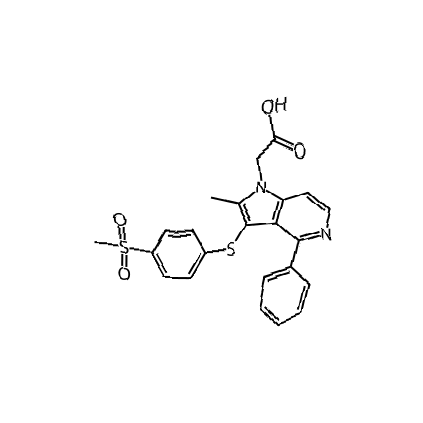 Cc1c(Sc2ccc(S(C)(=O)=O)cc2)c2c(-c3ccccc3)nccc2n1CC(=O)O